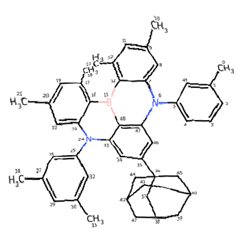 Cc1cccc(N2c3cc(C)cc(C)c3B3c4c(C)cc(C)cc4N(c4cc(C)cc(C)c4)c4cc(C56CC7CC(CC(C7)C5)C6)cc2c43)c1